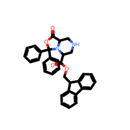 O=C(OCC1c2ccccc2-c2ccccc21)C1CNCC2C(=O)OC(c3ccccc3)(c3ccccc3)N12